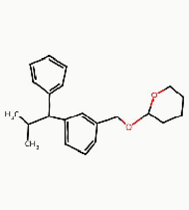 CC(C)C(c1ccccc1)c1cccc(COC2CCCCO2)c1